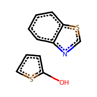 Oc1cccs1.c1ccc2scnc2c1